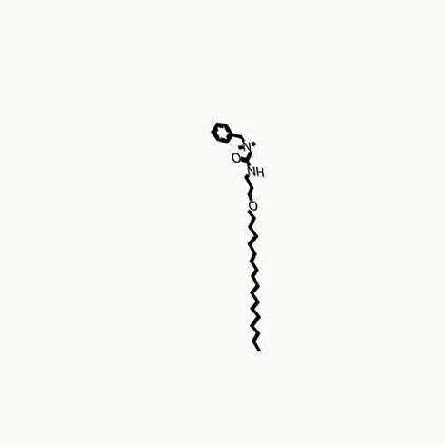 CCCCCCCCCCCCCCCCCCOCCCNC(=O)C[N+](C)(C)Cc1ccccc1